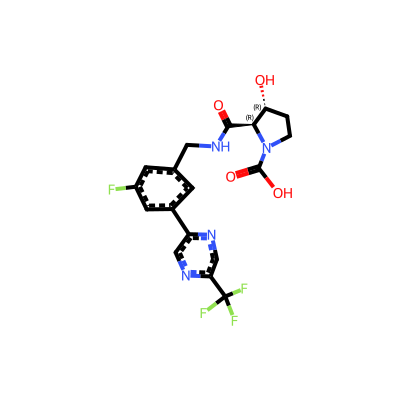 O=C(NCc1cc(F)cc(-c2cnc(C(F)(F)F)cn2)c1)[C@H]1[C@H](O)CCN1C(=O)O